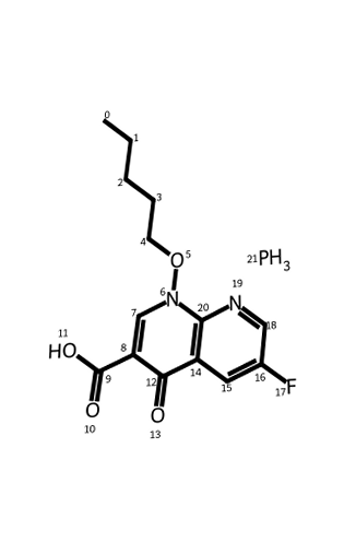 CCCCCOn1cc(C(=O)O)c(=O)c2cc(F)cnc21.P